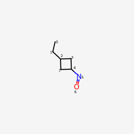 CCC1CC(N=O)C1